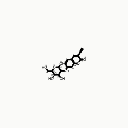 C#Cc1cc2ccc(NC3C(O)OC(CO)[C@H](O)C3O)cc2oc1=O